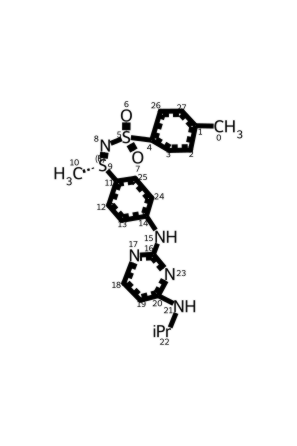 Cc1ccc(S(=O)(=O)N=[S@@](C)c2ccc(Nc3nccc(NC(C)C)n3)cc2)cc1